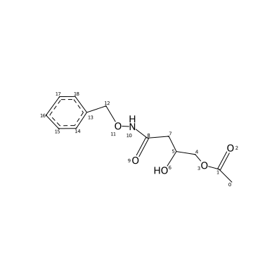 CC(=O)OCC(O)CC(=O)NOCc1ccccc1